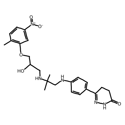 Cc1ccc([N+](=O)[O-])cc1OCC(O)CNC(C)(C)CNc1ccc(C2=NNC(=O)CC2)cc1